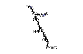 CC/C=C\CCCCOC(CCC(=O)OCCCCCCN(CCO)CCCCCCCC(=O)OCCC#CCCCCC)OCCCC/C=C\CC